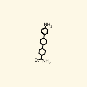 CCC(N)C1CCC(C2CCC(c3ccc(N)cc3)CC2)CC1